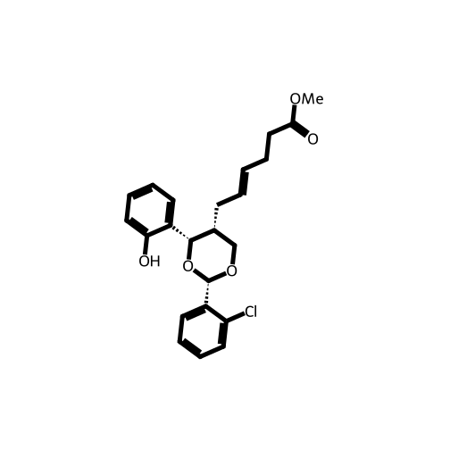 COC(=O)CC/C=C/C[C@@H]1CO[C@H](c2ccccc2Cl)O[C@@H]1c1ccccc1O